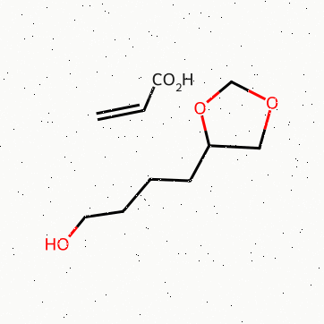 C=CC(=O)O.OCCCCC1COCO1